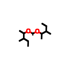 CCC(C)C(C)O[CH]OC(C)C(C)CC